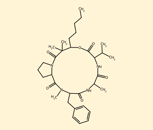 CCCCCC1OC(=O)C(C(C)C)NC(=O)C(C)NC(=O)C(Cc2ccccc2)N(C)C(=O)C2CCCN2C(=O)C1(C)C